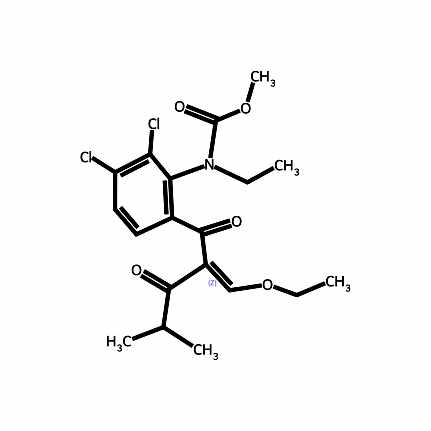 CCO/C=C(\C(=O)c1ccc(Cl)c(Cl)c1N(CC)C(=O)OC)C(=O)C(C)C